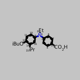 CCN(c1ccc(C(=O)O)cc1)c1ccc(OCC(C)C)c(C(C)C)c1